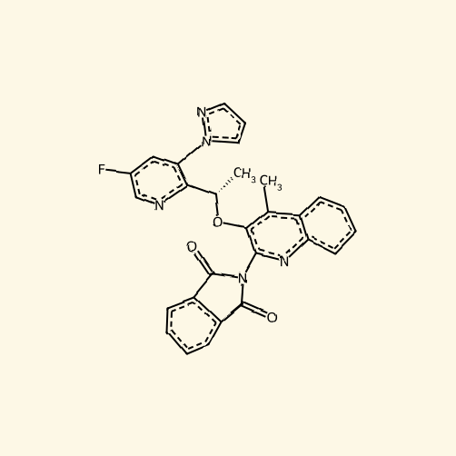 Cc1c(O[C@@H](C)c2ncc(F)cc2-n2cccn2)c(N2C(=O)c3ccccc3C2=O)nc2ccccc12